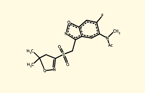 CC(=O)N(C)c1cc2c(CS(=O)(=O)C3=NOC(C)(C)C3)noc2cc1F